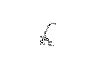 COCCNc1ccc([C@@H](CN2CC[C@H](OCCOCCOCCOC)C2)N(C)C(=O)Cc2ccc(Cl)c(Cl)c2)cc1